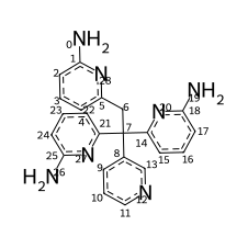 Nc1cccc(CC(c2cccnc2)(c2cccc(N)n2)c2cccc(N)n2)n1